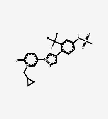 CS(=O)(=O)Nc1ccc(-c2cnn(-c3ccc(=O)n(CC4CC4)c3)c2)c(C(F)(F)F)c1